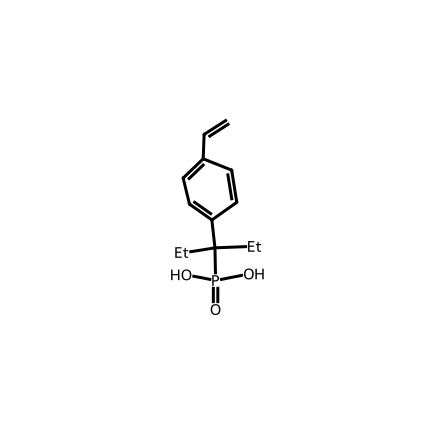 C=Cc1ccc(C(CC)(CC)P(=O)(O)O)cc1